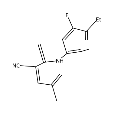 C=C(C)/C=C(/C#N)C(=C)NC(=C/C)/C=C(/F)C(=C)CC